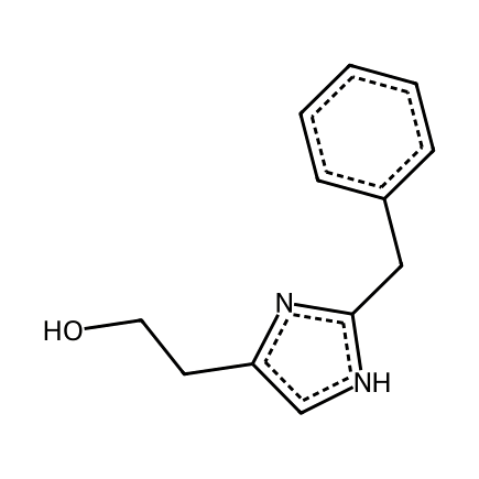 OCCc1c[nH]c(Cc2ccccc2)n1